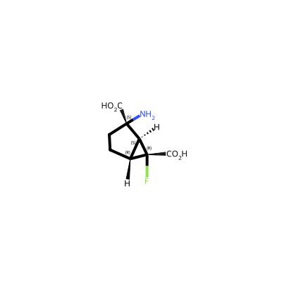 N[C@@]1(C(=O)O)CC[C@@H]2[C@@H]1[C@@]2(F)C(=O)O